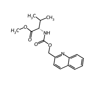 COC(=O)[C@@H](NC(=O)OCc1ccc2ccccc2n1)C(C)C